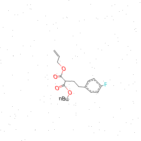 C=CCOC(=O)C(CCc1ccc(F)cc1)C(=O)OCCCC